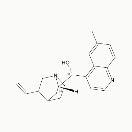 C=CC1CN2CCC1C[C@H]2[C@H](O)c1ccnc2ccc(C)cc12